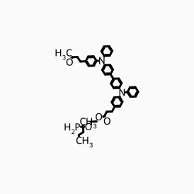 CCCC(C)(P)OCCOC(=O)CCc1ccc(N(c2ccccc2)c2ccc(-c3ccc(N(c4ccccc4)c4ccc(CCC(C)=O)cc4)cc3)cc2)cc1